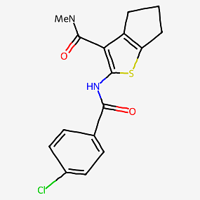 CNC(=O)c1c(NC(=O)c2ccc(Cl)cc2)sc2c1CCC2